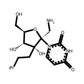 CC(C)CC[C@@]1(O)[C@H](O)[C@@H](CO)O[C@@]1(CN)n1ccc(=O)[nH]c1=O